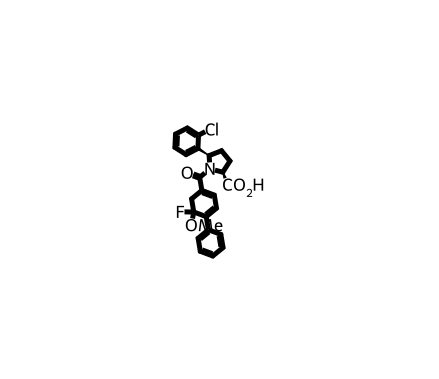 COC1(F)CC(C(=O)N2[C@@H](c3ccccc3Cl)CC[C@H]2C(=O)O)=CC=C1c1ccccc1